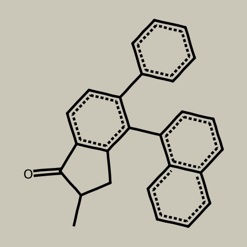 CC1Cc2c(ccc(-c3ccccc3)c2-c2cccc3ccccc23)C1=O